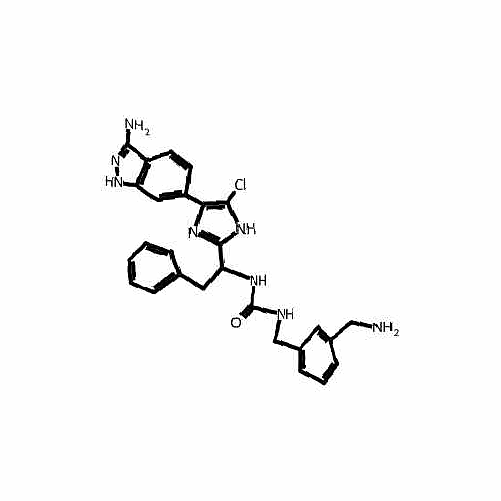 NCc1cccc(CNC(=O)NC(Cc2ccccc2)c2nc(-c3ccc4c(N)n[nH]c4c3)c(Cl)[nH]2)c1